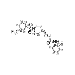 O=C(CON=C1CCN(S(=O)(=O)c2cccc(C(F)(F)F)c2)CC1)Nc1ccccc1F